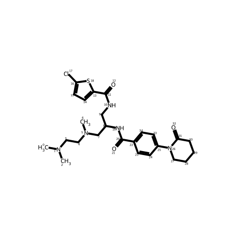 CN(C)CCN(C)CC(CNC(=O)c1ccc(Cl)s1)NC(=O)c1ccc(N2CCCCC2=O)cc1